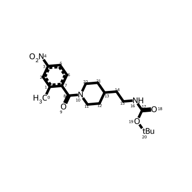 Cc1cc([N+](=O)[O-])ccc1C(=O)N1CCC(CCNC(=O)OC(C)(C)C)CC1